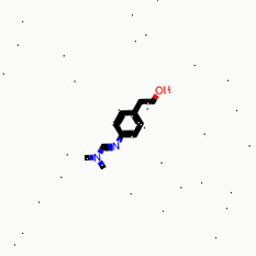 CN(C)C=Nc1ccc(CCO)cc1